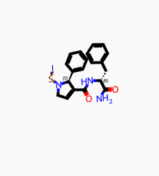 NC(=O)[C@@H](Cc1ccccc1)NC(=O)C1=CCN(SI)[C@H]1c1ccccc1